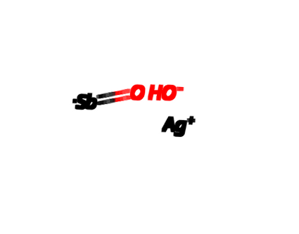 [Ag+].[OH-].[O]=[Sb]